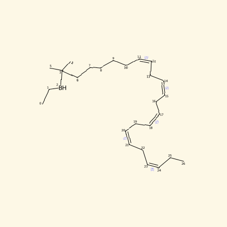 CCBC(C)(C)CCCCC/C=C\C/C=C\C/C=C\C/C=C\C/C=C\CC